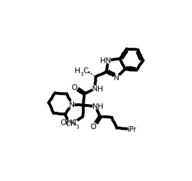 CC(C)CCC(=O)NC(CC=O)(C(=O)N[C@H](C)c1nc2ccccc2[nH]1)N1CCCCC1C